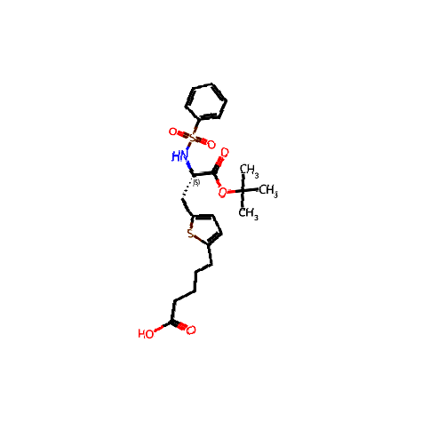 CC(C)(C)OC(=O)[C@H](Cc1ccc(CCCCC(=O)O)s1)NS(=O)(=O)c1ccccc1